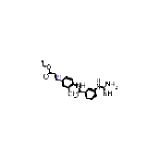 CCOC(=O)/C=C/c1ccc(NC(=O)c2cccc(NC(=N)N)c2)c(Cl)c1